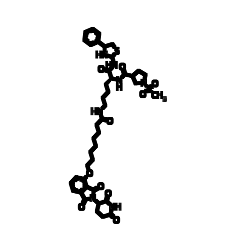 CS(=O)(=O)N1CCC(C(=O)N[C@@H](CCCCNC(=O)CCCCCCCOc2cccc3c2C(=O)N(C2CCC(=O)NC2=O)C3=O)C(=O)NC2NC(c3ccccc3)CS2)C1